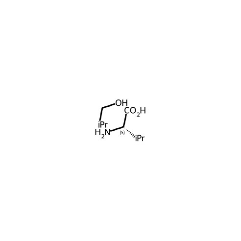 CC(C)CO.CC(C)[C@H](N)C(=O)O